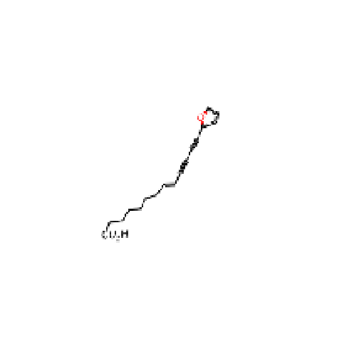 O=C(O)CCCCCC/C=C/C#CC#Cc1ccco1